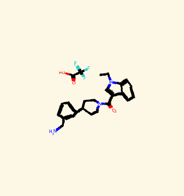 CCn1cc(C(=O)N2CCC(c3cccc(CN)c3)CC2)c2ccccc21.O=C(O)C(F)(F)F